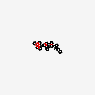 c1ccc(-c2ccccc2-c2cccc(N(c3cccc(-c4ccccc4N(c4ccc(-c5cccc6c5oc5cc7ccccc7cc56)cc4)c4ccccc4-c4ccccc4)c3)c3ccccc3-c3ccccc3)c2)cc1